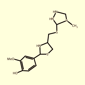 COc1cc(C2NC(CSC3NNCN3C)CS2)ccc1O